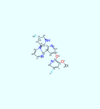 CCOc1cc(F)cnc1Oc1cncc(C2N=CC=CN2[C@@H]2CNC[C@@H](F)C2)c1